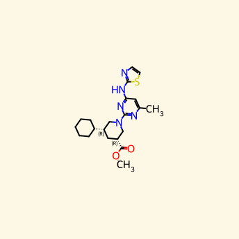 COC(=O)[C@@H]1C[C@H](C2CCCCC2)CN(c2nc(C)cc(Nc3nccs3)n2)C1